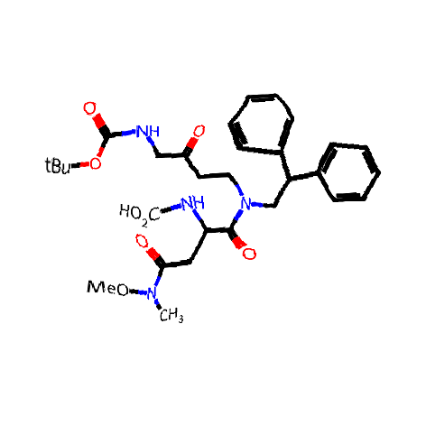 CON(C)C(=O)CC(NC(=O)O)C(=O)N(CCC(=O)CNC(=O)OC(C)(C)C)CC(c1ccccc1)c1ccccc1